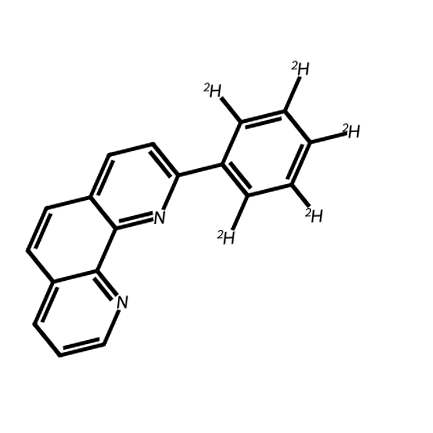 [2H]c1c([2H])c([2H])c(-c2ccc3ccc4cccnc4c3n2)c([2H])c1[2H]